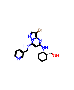 OC[C@@H]1CCCC[C@H]1Nc1cc(NCc2cccnc2)n2ncc(Br)c2n1